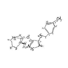 Cc1ccc(CSc2nsnc2O[C@H]2CN3CCC[C@@H]2C3)cc1